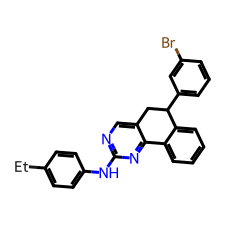 [CH2]Cc1ccc(Nc2ncc3c(n2)-c2ccccc2C(c2cccc(Br)c2)C3)cc1